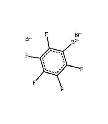 [B+2]c1c(F)c(F)c(F)c(F)c1F.[Br-].[Br-]